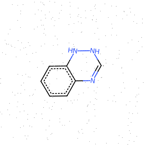 [C]1=Nc2ccccc2NN1